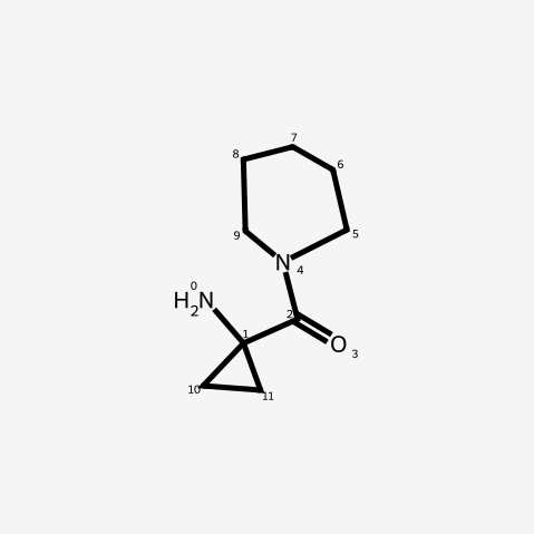 NC1(C(=O)N2CCCCC2)CC1